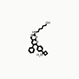 NC1(c2ccc(-c3nc4nc(NCCCCCO)ncc4cc3-c3ccccc3)cc2)CCC1